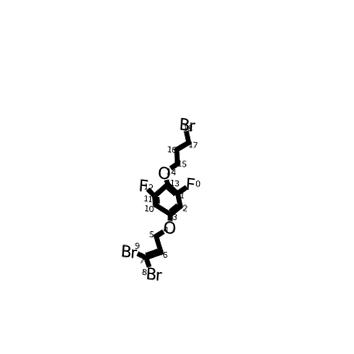 Fc1cc(OCC=C(Br)Br)cc(F)c1OCCCBr